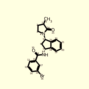 CC1CCN([C@@H]2C[C@@H](NC(=O)c3cccc(Br)c3)c3ccccc32)C1=O